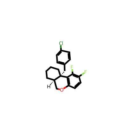 Fc1ccc2c(c1F)[C@]1(Cc3ccc(Cl)cc3)CCCC[C@@H]1CO2